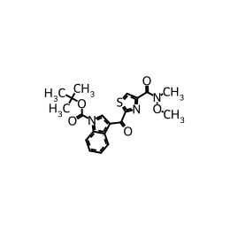 CON(C)C(=O)c1csc(C(=O)c2cn(C(=O)OC(C)(C)C)c3ccccc23)n1